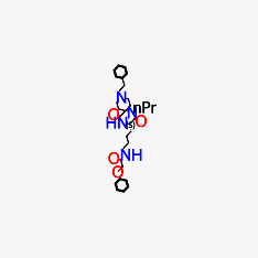 CCCN1C(=O)[C@H](CCCCNC(=O)COc2ccccc2)NC(=O)C12CCN(CCc1ccccc1)CC2